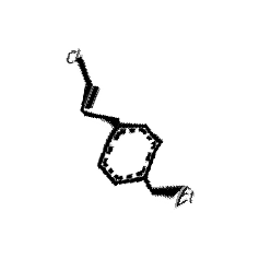 CCc1ccc(C=CCl)cc1